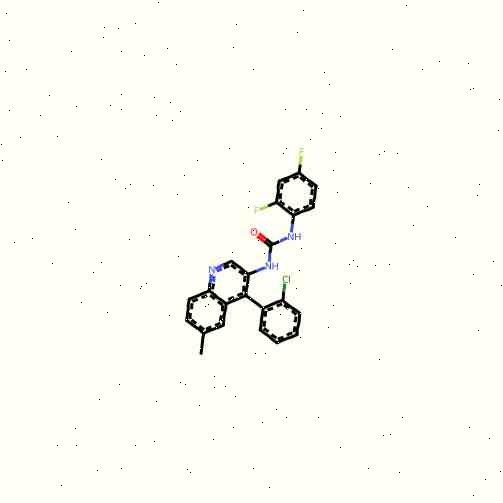 Cc1ccc2ncc(NC(=O)Nc3ccc(F)cc3F)c(-c3ccccc3Cl)c2c1